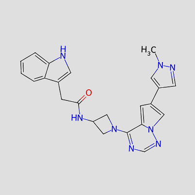 Cn1cc(-c2cc3c(N4CC(NC(=O)Cc5c[nH]c6ccccc56)C4)ncnn3c2)cn1